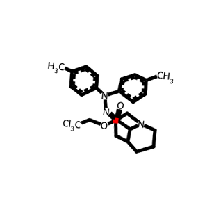 Cc1ccc(N(N=C2CC3CCCN(C2)C3C(=O)OCC(Cl)(Cl)Cl)c2ccc(C)cc2)cc1